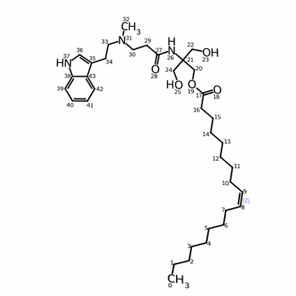 CCCCCCCC/C=C\CCCCCCCC(=O)OCC(CO)(CO)NC(=O)CCN(C)CCc1c[nH]c2ccccc12